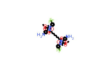 CCOC(=O)C1=C(C)N(c2cccc(C(F)(F)F)c2)C(=O)N(C(=O)CCCCCCCCC(=O)N2C(=O)N(c3cccc(C(F)(F)F)c3)C(C)=C(C(=O)OCC)C2c2ccc(N)cc2)C1c1ccc(N)cc1